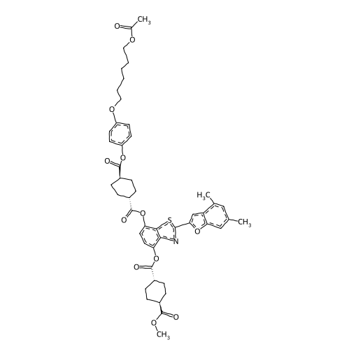 COC(=O)[C@H]1CC[C@H](C(=O)Oc2ccc(OC(=O)[C@H]3CC[C@H](C(=O)Oc4ccc(OCCCCCCOC(C)=O)cc4)CC3)c3sc(-c4cc5c(C)cc(C)cc5o4)nc23)CC1